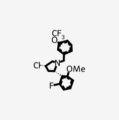 COc1cccc(F)c1[C@@H]1C[C@H](Cl)CN1Cc1cccc(OC(F)(F)F)c1